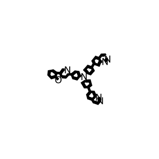 c1ccc2c(c1)oc1cc(-c3ccc(N(c4ccc(-c5ccc6ccnnc6c5)cc4)c4ccc(-c5ccc6ccnnc6c5)cc4)cc3)ncc12